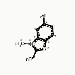 CCCc1nc2ccc(Br)cc2n1C